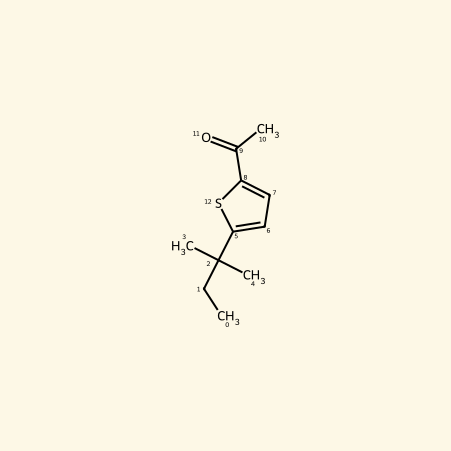 CCC(C)(C)c1ccc(C(C)=O)s1